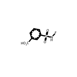 O=C(O)c1cccc(S(=O)(=O)NF)c1